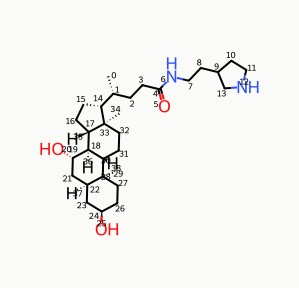 C[C@H](CCC(=O)NCCC1CCNC1)[C@H]1CC[C@H]2[C@@H]3[C@@H](O)C[C@@H]4C[C@H](O)CC[C@]4(C)[C@H]3CC[C@]12C